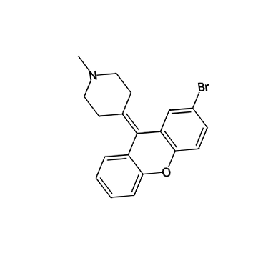 CN1CCC(=C2c3ccccc3Oc3ccc(Br)cc32)CC1